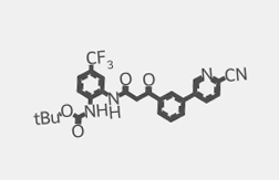 CC(C)(C)OC(=O)Nc1ccc(C(F)(F)F)cc1NC(=O)CC(=O)c1cccc(-c2ccc(C#N)nc2)c1